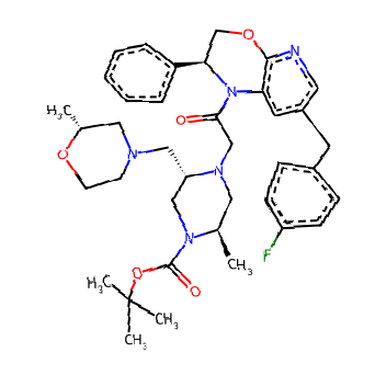 C[C@@H]1CN(C[C@H]2CN(C(=O)OC(C)(C)C)[C@H](C)CN2CC(=O)N2c3cc(Cc4ccc(F)cc4)cnc3OC[C@@H]2c2ccccc2)CCO1